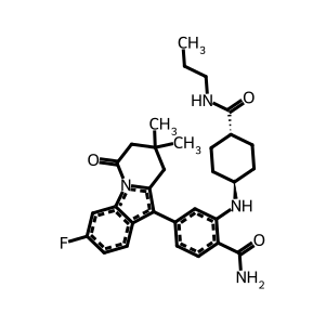 CCCNC(=O)[C@H]1CC[C@H](Nc2cc(-c3c4n(c5cc(F)ccc35)C(=O)CC(C)(C)C4)ccc2C(N)=O)CC1